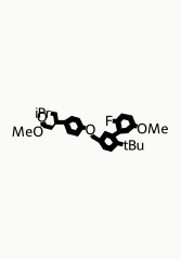 COC(=O)C[C@@H](CC(C)C)c1ccc(OCc2ccc(C(C)(C)C)c(-c3cc(OC)ccc3F)c2)cc1